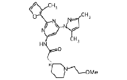 COCCN1CCC[C@H](CC(=O)Nc2cc(-n3nc(C)cc3C)nc(-c3occc3C)n2)C1